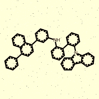 c1ccc(-c2ccc(-c3cccc(Nc4ccccc4-c4ccccc4-n4c5ccccc5c5ccccc54)c3)c3ccccc23)cc1